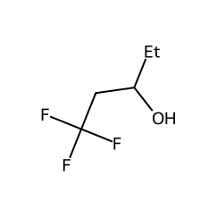 CCC(O)CC(F)(F)F